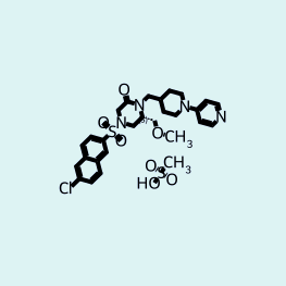 COC[C@@H]1CN(S(=O)(=O)c2ccc3cc(Cl)ccc3c2)CC(=O)N1CC1CCN(c2ccncc2)CC1.CS(=O)(=O)O